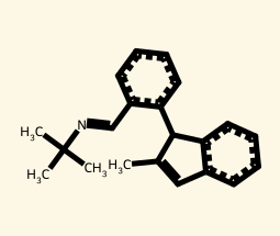 CC1=Cc2ccccc2C1c1ccccc1/C=N/C(C)(C)C